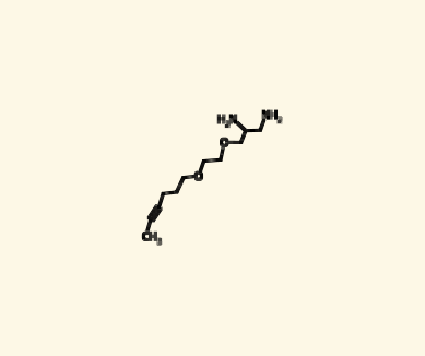 CC#CCCCOCCOCC(N)CN